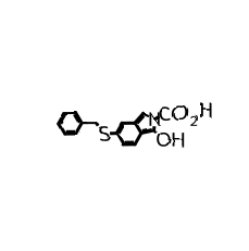 O=C(O)n1cc2cc(SCc3ccccc3)ccc2c1O